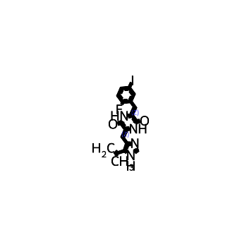 C=C(C)c1[nH]cnc1/C=c1\[nH]c(=O)/c(=C/c2cc(I)ccc2F)[nH]c1=O